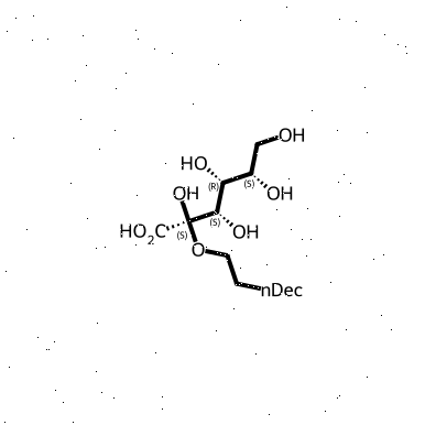 CCCCCCCCCCCCO[C@](O)(C(=O)O)[C@@H](O)[C@H](O)[C@@H](O)CO